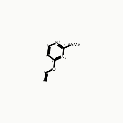 C=COc1ccnc(SC)n1